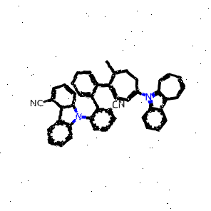 CC1CCC(n2c3c(c4ccccc42)C=C=CC=C3)=CC=C1C1=CCCC=C1c1c(C#N)cccc1N1c2ccccc2C2C(C#N)=CC=CC21